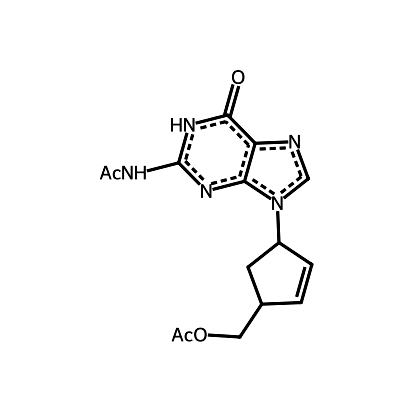 CC(=O)Nc1nc2c(ncn2C2C=CC(COC(C)=O)C2)c(=O)[nH]1